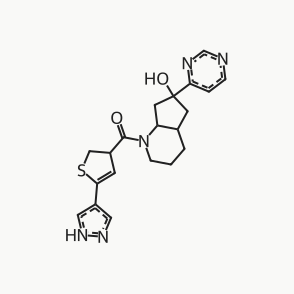 O=C(C1C=C(c2cn[nH]c2)SC1)N1CCCC2CC(O)(c3ccncn3)CC21